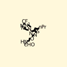 CCCc1cc2c(N3CCn4c(nnc4C(F)(F)F)C3)nc(OCCNC=O)nc2s1